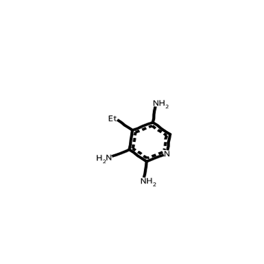 CCc1c(N)cnc(N)c1N